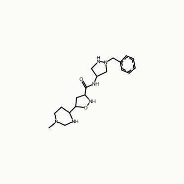 CN1CCC(C2CC(C(=O)NC3CNN(Cc4ccccc4)C3)NO2)NC1